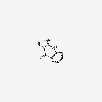 O=C1c2ccccc2NN2NC=CN12